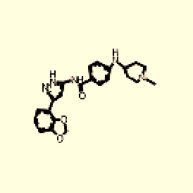 CN1CCC(Nc2ccc(C(=O)Nc3cc(-c4cccc5c4OCO5)n[nH]3)cc2)CC1